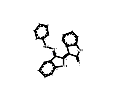 O=C1Nc2ccccc2/C1=C1/Nc2ccccc2/C1=N\Nc1ccccc1